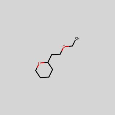 N#CCOCCC1CCCCO1